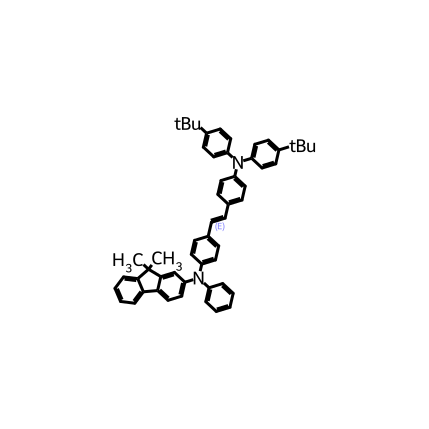 CC(C)(C)c1ccc(N(c2ccc(/C=C/c3ccc(N(c4ccccc4)c4ccc5c(c4)C(C)(C)c4ccccc4-5)cc3)cc2)c2ccc(C(C)(C)C)cc2)cc1